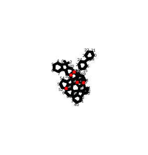 CC1(C)c2ccccc2-c2ccc(N(c3ccc(-c4ccccc4)cc3)c3ccc(-c4cccc5c4C4(c6ccccc6-5)c5ccccc5C5(c6ccccc6-c6ccccc65)c5ccccc54)cc3)cc21